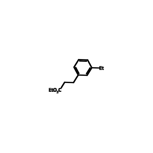 CCOC(=O)CCc1cccc(CC)c1